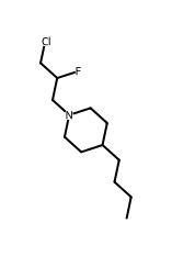 CCCCC1CCN(CC(F)CCl)CC1